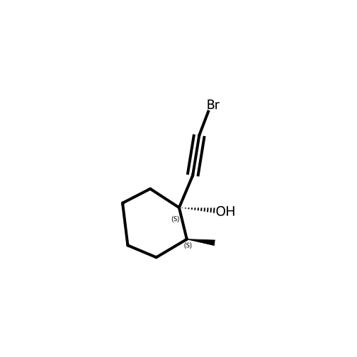 C[C@H]1CCCC[C@@]1(O)C#CBr